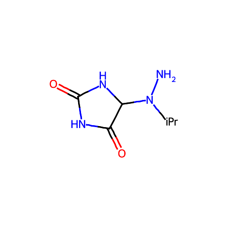 CC(C)N(N)C1NC(=O)NC1=O